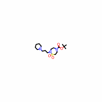 CC(C)(C)OC(=O)N1CCN(CCCN2CCCCC2)S(=O)(=O)CC1